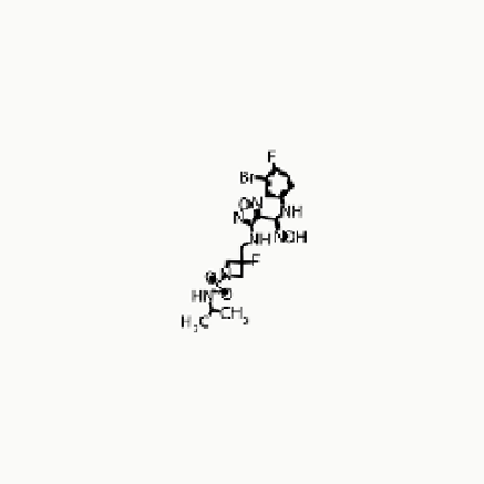 CC(C)NS(=O)(=O)N1CC(F)(CNc2nonc2/C(=N/O)Nc2ccc(F)c(Br)c2)C1